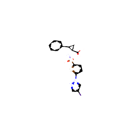 C[C@H]1C(c2ccccc2)[C@]1(NS(=O)(=O)c1ccc(-n2cc(I)cn2)s1)C(=O)O